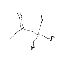 C=C(C)C(F)(F)I